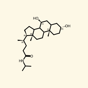 CC(C)NC(=O)CC[C@@H](C)[C@H]1CCC2C3C(CC[C@@]21C)[C@@]1(C)CC[C@@H](O)CC1C[C@@H]3O